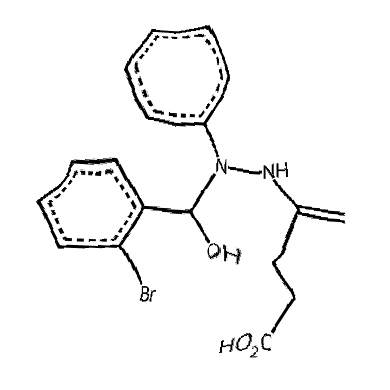 C=C(CCC(=O)O)NN(c1ccccc1)C(O)c1ccccc1Br